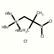 CCCC[N+](CCCC)(CCCC)CC(C)(C)N(Cl)Cl.[Cl-]